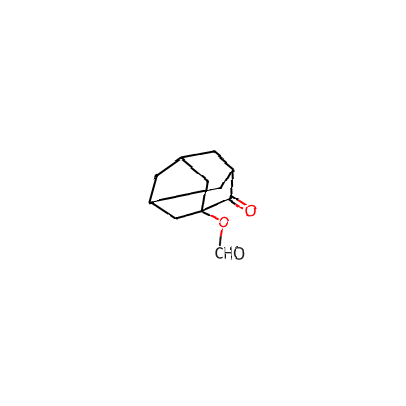 O=COC12CC3CC(CC(C3)C1=O)C2